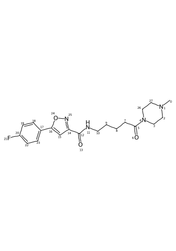 CN1CCN(C(=O)CCCCNC(=O)c2cc(-c3ccc(F)cc3)on2)CC1